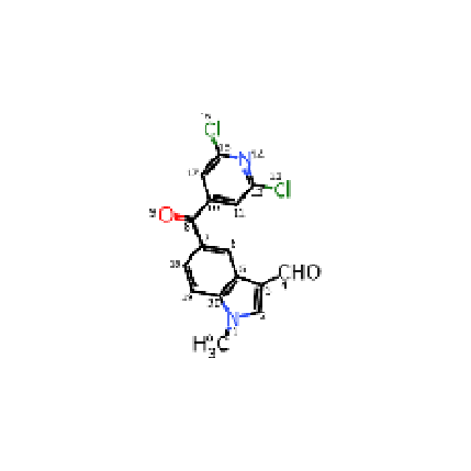 Cn1cc(C=O)c2cc(C(=O)c3cc(Cl)nc(Cl)c3)ccc21